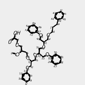 COC(COCC(=O)O)COC(COc1ccccc1)COC(COc1ccccc1)COC(COCCCc1ccccc1)COc1ccccc1